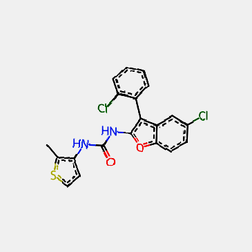 Cc1sccc1NC(=O)Nc1oc2ccc(Cl)cc2c1-c1ccccc1Cl